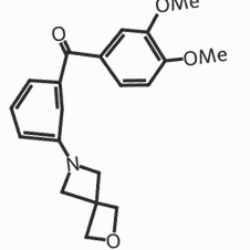 COc1ccc(C(=O)c2cccc(N3CC4(COC4)C3)c2)cc1OC